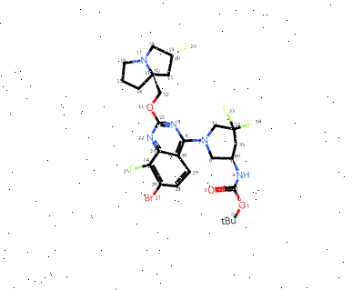 CC(C)(C)OC(=O)N[C@H]1CN(c2nc(OC[C@@]34CCCN3C[C@H](F)C4)nc3c(F)c(Br)ccc23)CC(F)(F)C1